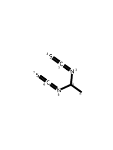 CC(N=C=S)N=C=S